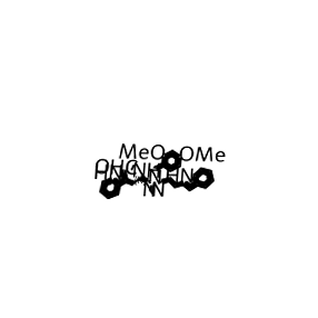 COc1ccc(Cn2c(CCc3cc4ccccc4[nH]3)nnc2[C@@H](Cc2c[nH]c3ccccc23)NC=O)c(OC)c1